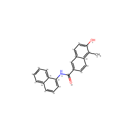 Cc1c(O)ccc2cc(C(=O)Nc3cccc4ccccc34)ccc12